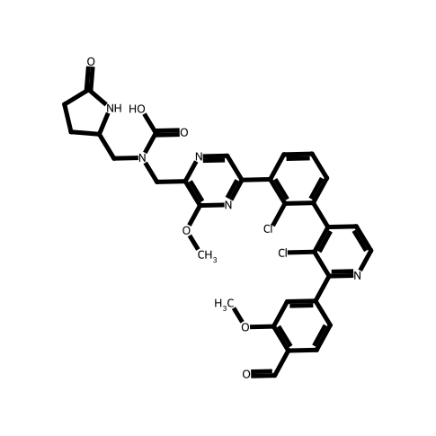 COc1cc(-c2nccc(-c3cccc(-c4cnc(CN(CC5CCC(=O)N5)C(=O)O)c(OC)n4)c3Cl)c2Cl)ccc1C=O